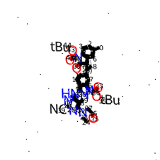 Cc1ccc2c(c1)[C@]1(C[C@H]1c1ccc3c(Nc4nc(C#N)nc(N5CCOCC5)c4C)nn(C(=O)OC(C)(C)C)c3c1)C(=O)N2C(=O)OC(C)(C)C